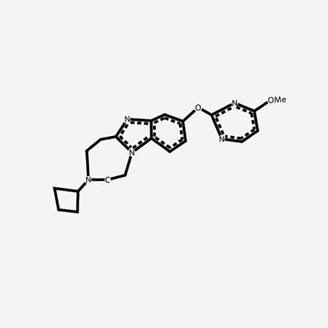 COc1ccnc(Oc2ccc3c(c2)nc2n3CCN(C3CCC3)CC2)n1